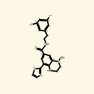 CCCCN1CCNc2c(-c3ncco3)cc(C(=O)NCCc3cc(F)cc(F)c3)cc21